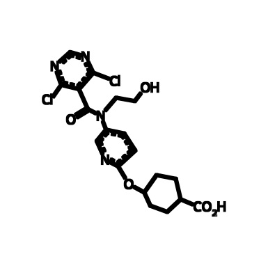 O=C(O)C1CCC(Oc2ccc(N(CCO)C(=O)c3c(Cl)ncnc3Cl)cn2)CC1